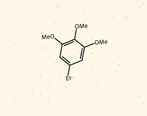 C[CH]c1cc(OC)c(OC)c(OC)c1